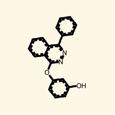 Oc1cccc(Oc2nnc(-c3ccccc3)c3ccccc23)c1